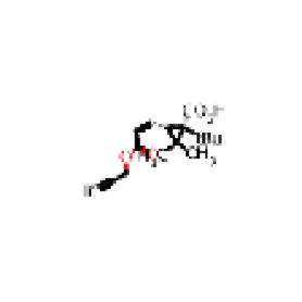 C#CCOC(=O)/C=C\[C@H]1C(C)(C)[C@]1(C(=O)O)C(C)(C)C